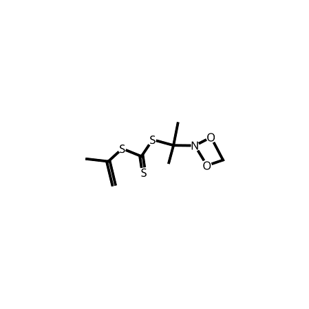 C=C(C)SC(=S)SC(C)(C)N1OCO1